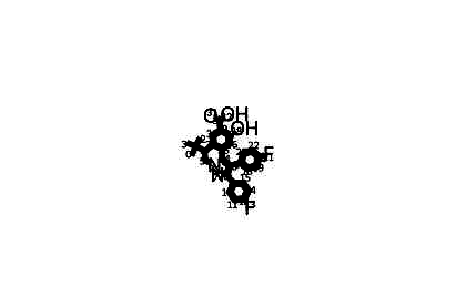 CC(C)(C)C1Cn2nc(-c3ccc(F)cc3)c(-c3ccc(F)cc3)c2-c2cc(O)c(C(=O)O)cc21